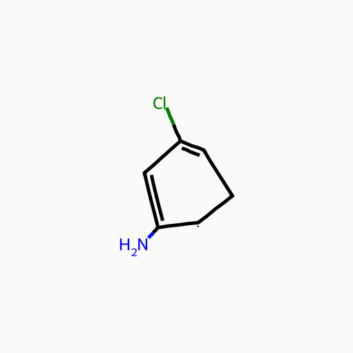 NC1=CC(Cl)=CC[CH]1